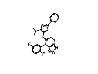 CC(C)c1nn(-c2ccccc2)cc1CN1CCn2nnnc2C1c1cc(F)ccc1F